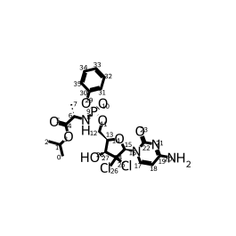 CC(C)OC(=O)[C@H](C)NP(=O)(OC[C@H]1O[C@@H](n2ccc(N)nc2=O)C(Cl)(Cl)[C@H]1O)Oc1ccccc1